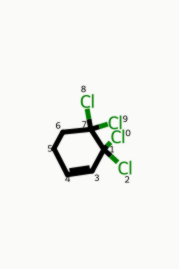 ClC1(Cl)C=CCCC1(Cl)Cl